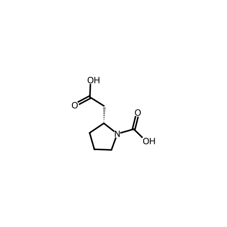 O=C(O)C[C@H]1CCCN1C(=O)O